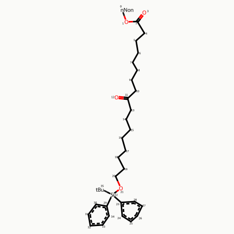 CCCCCCCCCOC(=O)CCCCCCCC(=O)CCCCCCCCO[Si](c1ccccc1)(c1ccccc1)C(C)(C)C